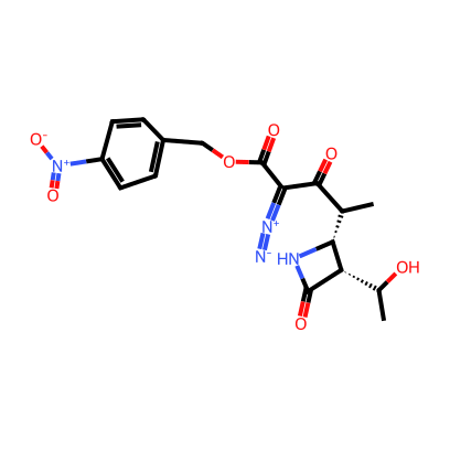 CC(C(=O)C(=[N+]=[N-])C(=O)OCc1ccc([N+](=O)[O-])cc1)[C@H]1NC(=O)[C@H]1C(C)O